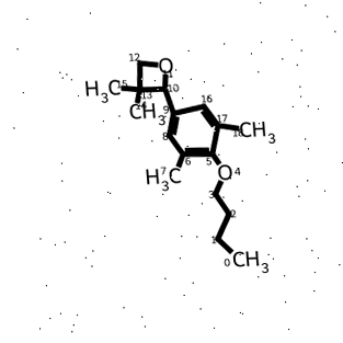 CCCCOc1c(C)cc(C2OCC2(C)C)cc1C